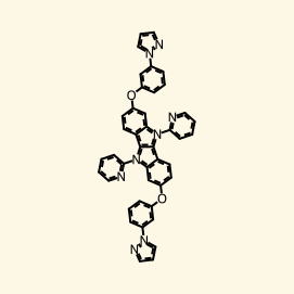 c1ccc(-n2c3cc(Oc4cccc(-n5cccn5)c4)ccc3c3c2c2ccc(Oc4cccc(-n5cccn5)c4)cc2n3-c2ccccn2)nc1